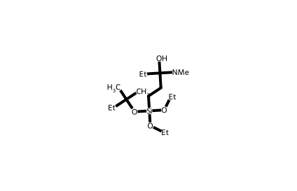 CCO[Si](CCC(O)(CC)NC)(OCC)OC(C)(C)CC